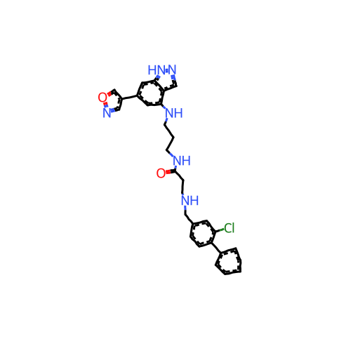 O=C(CCNCc1ccc(-c2ccccc2)c(Cl)c1)NCCCNc1cc(-c2cnoc2)cc2[nH]ncc12